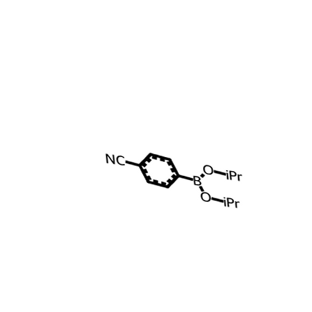 CC(C)OB(OC(C)C)c1ccc(C#N)cc1